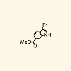 COC(=O)c1ccc2c(C(C)C)c[nH]c2c1